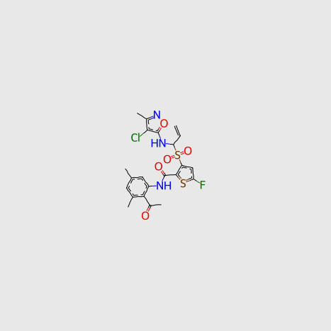 C=CC(Nc1onc(C)c1Cl)S(=O)(=O)c1cc(F)sc1C(=O)Nc1cc(C)cc(C)c1C(C)=O